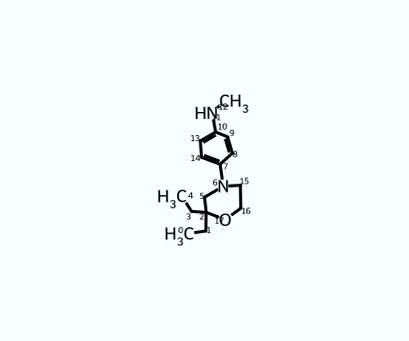 CCC1(CC)CN(c2ccc(NC)cc2)CCO1